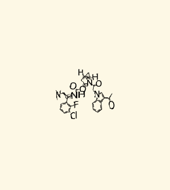 CC(=O)c1cn(CC(=O)N2[C@@H](OC(=O)N[C@H](CN(C)C)c3cccc(Cl)c3F)C[C@H]3C[C@H]32)c2ccccc12